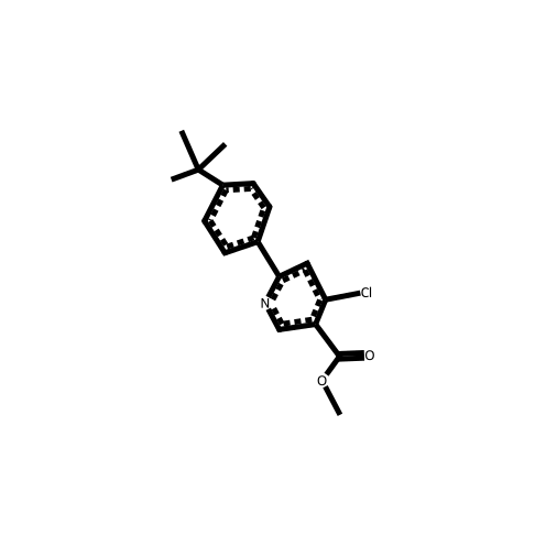 COC(=O)c1cnc(-c2ccc(C(C)(C)C)cc2)cc1Cl